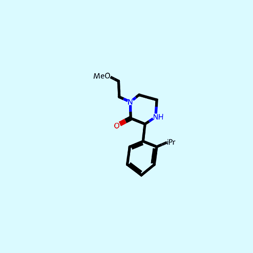 COCCN1CCNC(c2ccccc2C(C)C)C1=O